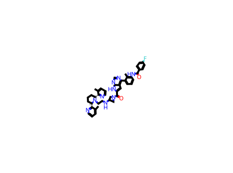 Cc1cccnc1[C@H]1CCC[C@@H](c2ncccc2C)N1CCNC1CN(C(=O)c2cc3c(-c4cccc(NC(=O)c5ccc(F)cc5)c4C)ncnc3[nH]2)C1